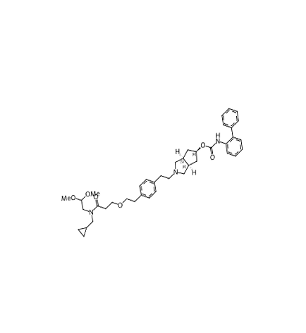 COC(CN(CC1CC1)C(=O)CCOCCc1ccc(CCN2C[C@H]3C[C@@H](OC(=O)Nc4ccccc4-c4ccccc4)C[C@H]3C2)cc1)OC